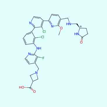 COc1nc(-c2ccnc(-c3cccc(Nc4nccc(CN5CC(C(=O)O)C5)c4F)c3Cl)c2Cl)ccc1CNC[C@H]1CCC(=O)N1